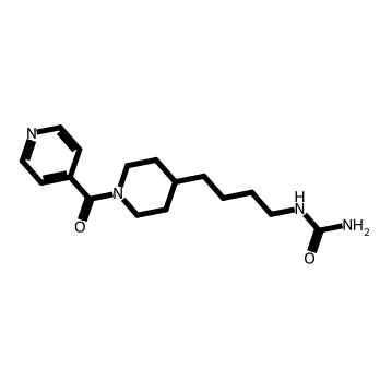 NC(=O)NCCCCC1CCN(C(=O)c2ccncc2)CC1